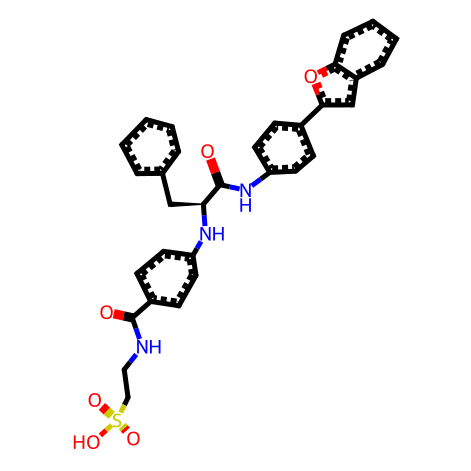 O=C(NCCS(=O)(=O)O)c1ccc(N[C@@H](Cc2ccccc2)C(=O)Nc2ccc(-c3cc4ccccc4o3)cc2)cc1